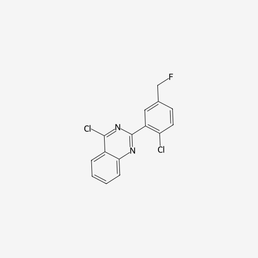 FCc1ccc(Cl)c(-c2nc(Cl)c3ccccc3n2)c1